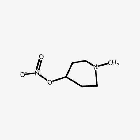 CN1CCC(O[N+](=O)[O-])CC1